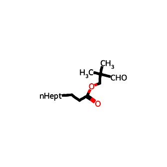 CCCCCCCCCC(=O)OCC(C)(C)C=O